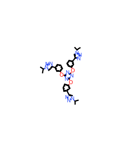 CC(C)n1cc(-c2cccc(Oc3nc(Oc4cccc(-c5cn(C(C)C)nn5)c4)nc(Oc4cccc(-c5cn(C(C)C)nn5)c4)n3)c2)nn1